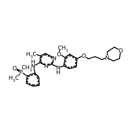 COc1cc(OCCCN2CCOCC2)ccc1Nc1ncc(C)c(Nc2ccccc2P(C)(C)=O)n1